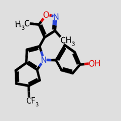 Cc1noc(C)c1-c1cc2ccc(C(F)(F)F)cc2n1-c1ccc(O)cc1